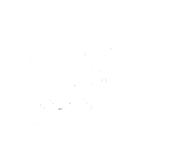 CC(C)C1=C2[C@H]3CC[C@@H]4C5(C)CC[C@H](OC(=O)CC(C)(C)C(=O)O)C(C)(C)[C@@H]5CCC4(C)[C@]3(C)CC[C@@]2(c2cc(=O)n(Cc3ccc(F)cc3)n2C)CC1